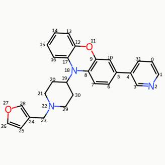 c1cncc(-c2ccc3c(c2)Oc2ccccc2N3C2CCN(Cc3ccoc3)CC2)c1